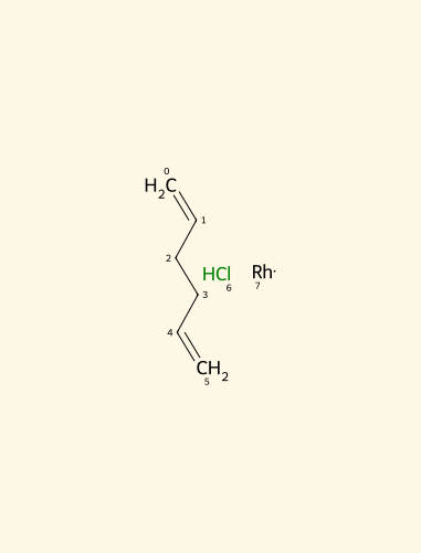 C=CCCC=C.Cl.[Rh]